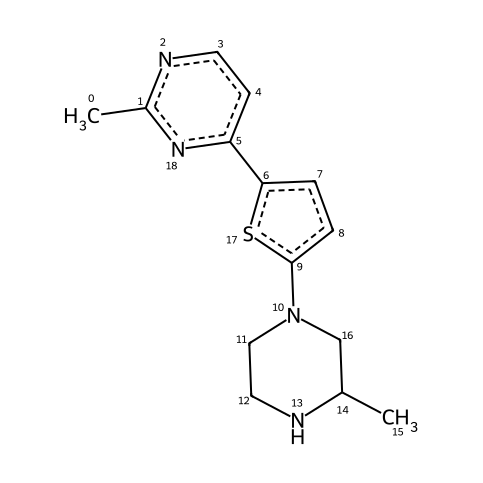 Cc1nccc(-c2ccc(N3CCNC(C)C3)s2)n1